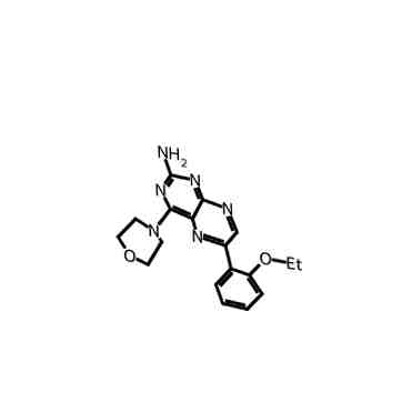 CCOc1ccccc1-c1cnc2nc(N)nc(N3CCOCC3)c2n1